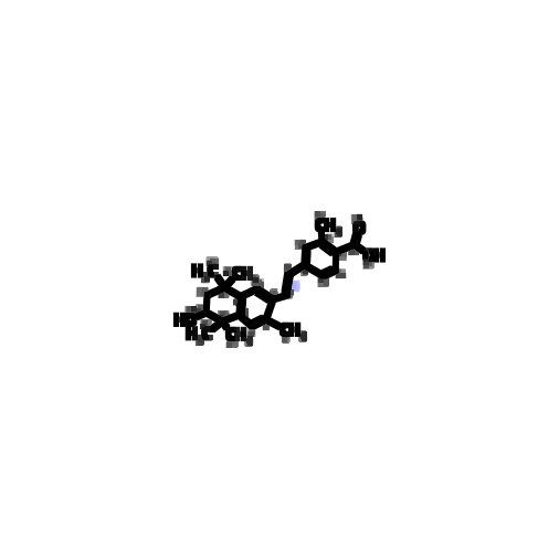 Cc1cc2c(cc1/C=C/c1ccc(C(=O)O)c(C)c1)C(C)(C)CC(O)C2(C)C